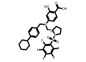 O=C(O)c1ccc(N(Cc2ccc(C3CCCCC3)cc2)C[C@H]2CCCN2S(=O)(=O)c2c(F)c(F)c(F)c(F)c2F)cc1O